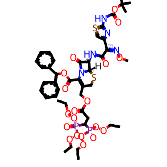 CCOOP(=O)(OOCC)C(CC(=O)OCC1=C(C(=O)OC(c2ccccc2)c2ccccc2)N2C(=O)[C@@H](NC(=O)/C(=N\OC)c3csc(NC(=O)OC(C)(C)C)n3)[C@@H]2SC1)P(=O)(OOCC)OOCC